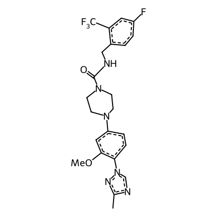 COc1cc(N2CCN(C(=O)NCc3ccc(F)cc3C(F)(F)F)CC2)ccc1-n1cnc(C)n1